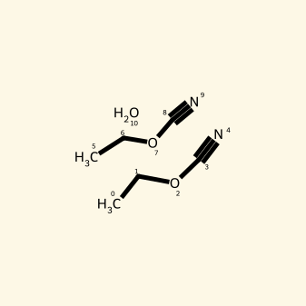 CCOC#N.CCOC#N.O